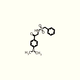 CN(C)c1ccc(C(=O)CNS(=O)(=O)Cc2ccccc2)cc1